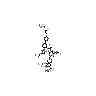 CCOC(=O)/C=C/c1ccc(-c2ccc(-n3ccc(C)n3)c([C@@H](Oc3cc(N4CCC5(CC4)CC(C(=O)O)NC5CC)nc(N)n3)C(F)(F)F)c2)cc1